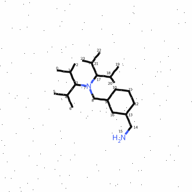 CC(C)C(C(C)C)N(CC1CCCC(CN)C1)C(C(C)C)C(C)C